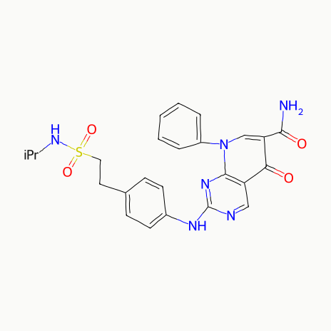 CC(C)NS(=O)(=O)CCc1ccc(Nc2ncc3c(=O)c(C(N)=O)cn(-c4ccccc4)c3n2)cc1